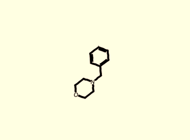 [c]1ccc(CN2CCOCC2)cc1